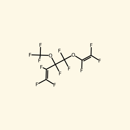 FC(F)=C(F)OC(F)(F)C(F)(OC(F)(F)F)C(F)=C(F)F